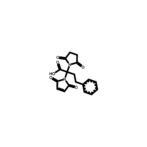 O=C1C=CC(=O)N1C(CCc1ccccc1)(C(=O)O)N1C(=O)CCC1=O